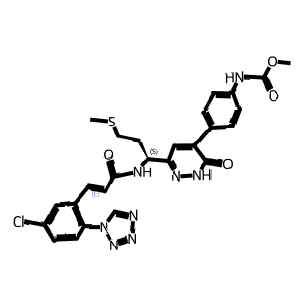 COC(=O)Nc1ccc(-c2cc([C@H](CCSC)NC(=O)/C=C/c3cc(Cl)ccc3-n3cnnn3)n[nH]c2=O)cc1